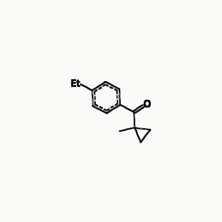 CCc1ccc(C(=O)C2(C)CC2)cc1